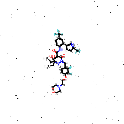 CCC1(CC)C(O)=C(C(=O)Nc2ccc(C(F)(F)F)cc2-c2ccc(C(F)(F)F)nc2)C(=O)N(Cc2ccc(OCCN3CCOCC3)c(F)c2F)N1C